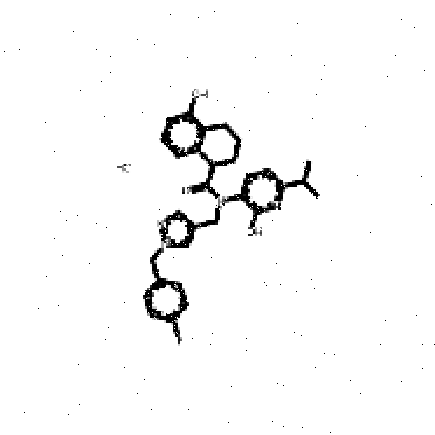 CC(C)c1ccc(N(Cc2cnn(Cc3ccc(F)cc3)c2)C(=O)C2CCCc3c(O)cccc32)c(O)n1.Cl